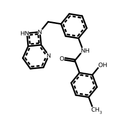 Cc1ccc(C(=O)Nc2cccc(Cn3[nH]c4cccnc43)c2)c(O)c1